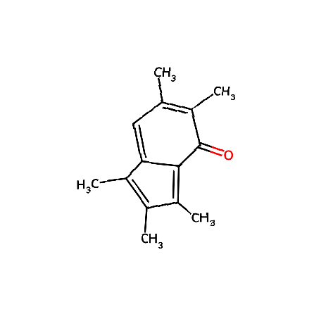 CC1=C(C)C(=O)C2=C(C)C(C)=C(C)C2=C1